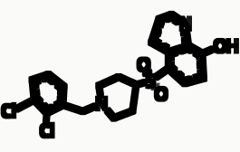 O=S(=O)(c1ccc(O)c2ncccc12)C1CCN(Cc2cccc(Cl)c2Cl)CC1